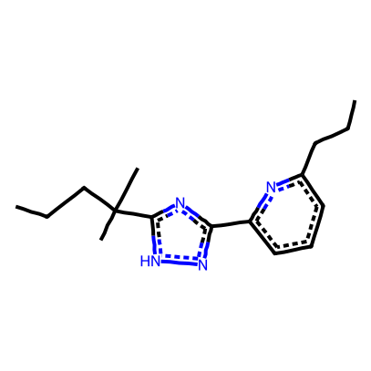 CCCc1cccc(-c2n[nH]c(C(C)(C)CCC)n2)n1